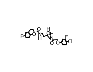 O=C(COc1ccc(Cl)c(F)c1)NC[C@@H](O)CCNC(=O)[C@H]1CCc2cc(F)ccc2O1